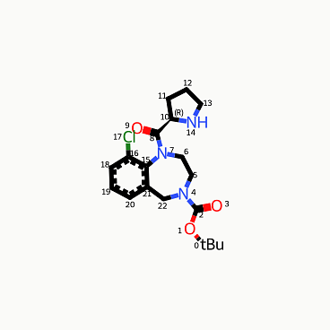 CC(C)(C)OC(=O)N1CCN(C(=O)[C@H]2CCCN2)c2c(Cl)cccc2C1